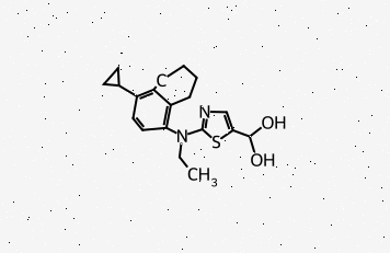 CCN(c1ncc(C(O)O)s1)c1ccc(C2CC2)c2c1CCCC2